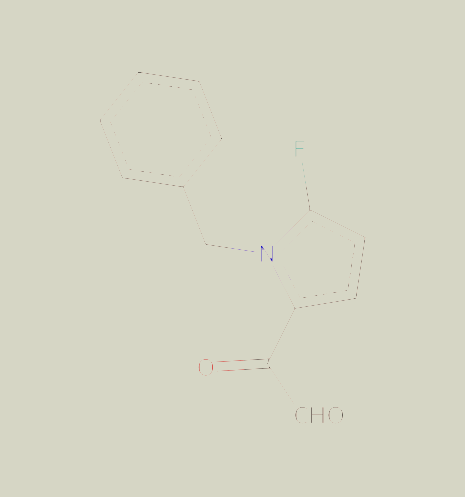 C[C@H](c1ccccc1)n1c(F)ccc1C(=O)C=O